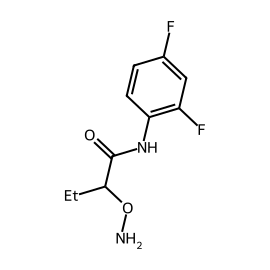 CCC(ON)C(=O)Nc1ccc(F)cc1F